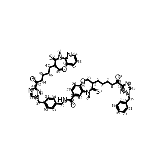 CN1C(=S)C(CCCCC(=O)c2ncn(Cc3ccccc3)n2)COc2ccc(C(=O)NCc3ccc(Cn4cnc(C(=O)CCCCC5COc6cccnc6N(C)C5=S)n4)cc3)cc21